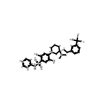 CN(C)[C@]1(CCc2cccc(C(F)(F)F)c2)CCCN(c2cc(F)c(S(=O)(=O)Nc3ccncn3)cc2Cl)C1